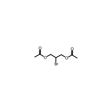 CC(=O)OCC(Br)COC(C)=O